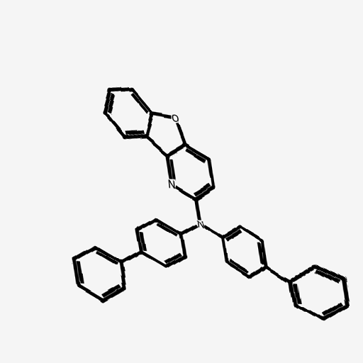 c1ccc(-c2ccc(N(c3ccc(-c4ccccc4)cc3)c3ccc4oc5ccccc5c4n3)cc2)cc1